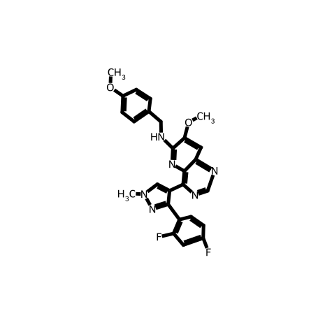 COc1ccc(CNc2nc3c(-c4cn(C)nc4-c4ccc(F)cc4F)ncnc3cc2OC)cc1